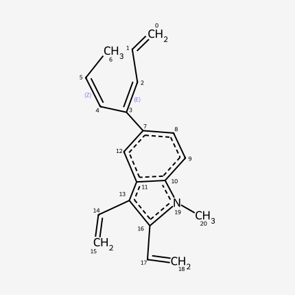 C=C/C=C(\C=C/C)c1ccc2c(c1)c(C=C)c(C=C)n2C